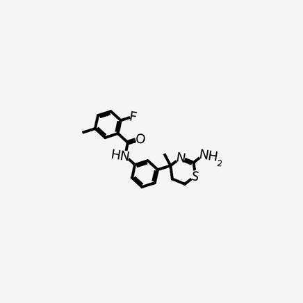 Cc1ccc(F)c(C(=O)Nc2cccc(C3(C)CCSC(N)=N3)c2)c1